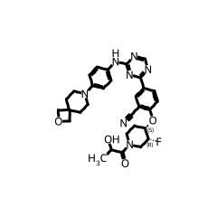 CC(O)C(=O)N1CC[C@H](Oc2ccc(-c3ncnc(Nc4ccc(N5CCC6(CC5)COC6)cc4)n3)cc2C#N)[C@H](F)C1